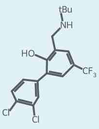 CC(C)(C)NCc1cc(C(F)(F)F)cc(-c2ccc(Cl)c(Cl)c2)c1O